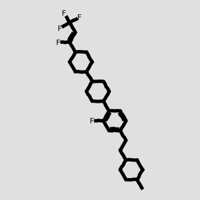 CC1CCC(CCc2ccc(C3CCC(C4CCC(/C(F)=C/C(F)(F)F)CC4)CC3)c(F)c2)CC1